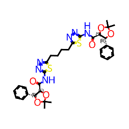 CC1(C)O[C@H](C(=O)Nc2nnc(CCCCc3nnc(NC(=O)[C@H]4OC(C)(C)O[C@@H]4c4ccccc4)s3)s2)[C@@H](c2ccccc2)O1